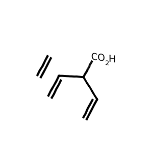 C=C.C=CC(C=C)C(=O)O